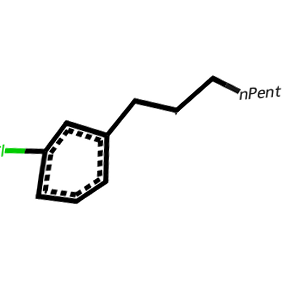 CCCCCC[CH]Cc1cccc(Cl)c1